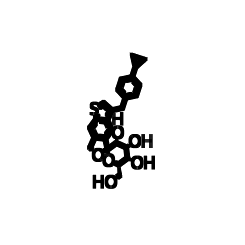 OC[C@H]1O[C@]2(OCc3cc4scc(Cc5ccc(C6CC6)cc5)c4cc32)[C@H](O)[C@@H](O)[C@@H]1O